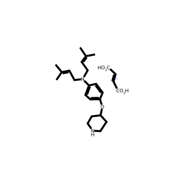 CC(C)=CCN(CC=C(C)C)c1ccc(OC2CCNCC2)cc1.O=C(O)/C=C/C(=O)O